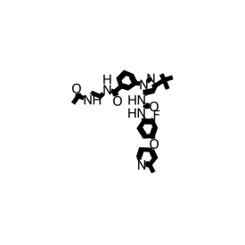 CC(=O)NCCNC(=O)c1cccc(-n2nc(C(C)(C)C)cc2NC(=O)Nc2ccc(Oc3ccnc(C)c3)cc2F)c1